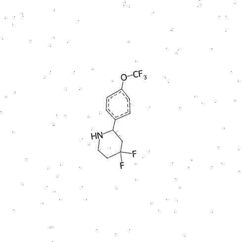 FC1(F)CCNC(c2ccc(OC(F)(F)F)cc2)C1